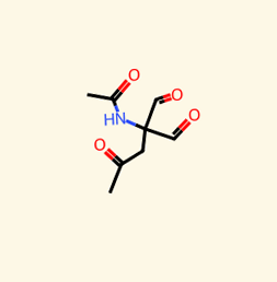 CC(=O)CC(C=O)(C=O)NC(C)=O